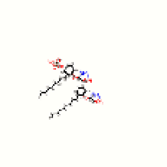 CCCCCCCCCc1ccccc1OC(N)CO.CCCCCCCCCc1ccccc1OC(N)CO.O=S(=O)(O)O